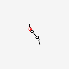 CC=CCOc1ccc(C#Cc2ccc(C=CCCC)cc2)cc1